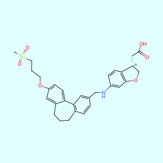 CS(=O)(=O)CCCOc1ccc2c(c1)CCCc1ccc(CNc3ccc4c(c3)OC[C@H]4CC(=O)O)cc1-2